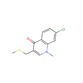 CSCc1cn(C)c2cc(Cl)ccc2c1=O